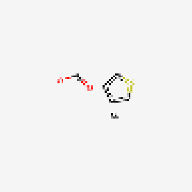 O=C[O-].[Cu+].c1ccsc1